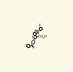 O=C(O)c1cc(N2CCN(C(=O)c3ccccc3)CC2)nc2ccc3nn(-c4cccc(F)c4)nc3c12